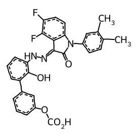 Cc1ccc(N2C(=O)C(=NNc3cccc(-c4cccc(OC(=O)O)c4)c3O)c3c2ccc(F)c3F)cc1C